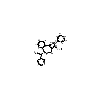 O=C(c1cccnc1)N1CCc2c(nn(-c3ccccc3)c2O)-c2cccnc21